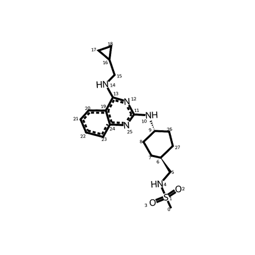 CS(=O)(=O)NC[C@H]1CC[C@H](Nc2nc(NCC3CC3)c3ccccc3n2)CC1